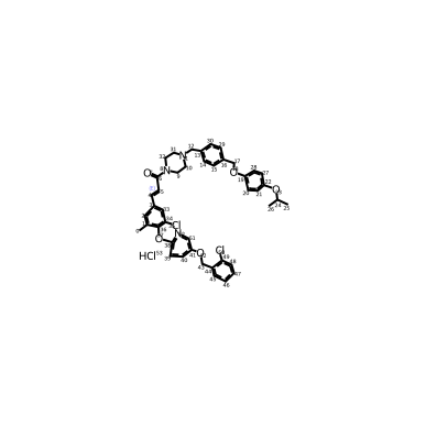 Cc1cc(/C=C/C(=O)N2CCN(Cc3ccc(COc4ccc(OC(C)C)cc4)cc3)CC2)cc(Cl)c1Oc1ccc(OCc2ccccc2Cl)cn1.Cl